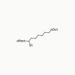 [CH2]CCCCC(CC)CCCCCCCCCCCCCC